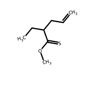 C=CCC(CC)C(=S)OC